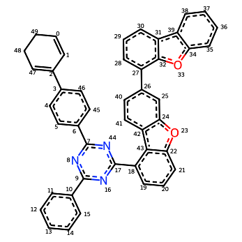 C1=CC(c2ccc(-c3nc(-c4ccccc4)nc(-c4cccc5oc6cc(-c7cccc8c7oc7ccccc78)ccc6c45)n3)cc2)=CCC1